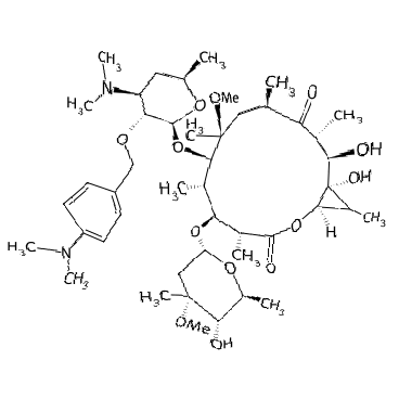 CO[C@]1(C)C[C@H](O[C@H]2[C@H](C)[C@@H](O[C@@H]3O[C@H](C)C[C@H](N(C)C)[C@H]3OCc3ccc(N(C)C)cc3)[C@@](C)(OC)C[C@@H](C)C(=O)[C@H](C)[C@@H](O)[C@@]3(O)C(C)[C@H]3OC(=O)[C@@H]2C)O[C@@H](C)[C@@H]1O